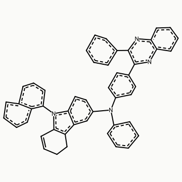 C1=Cc2c(c3cc(N(c4ccccc4)c4ccc(-c5nc6ccccc6nc5-c5ccccc5)cc4)ccc3n2-c2cccc3ccccc23)CC1